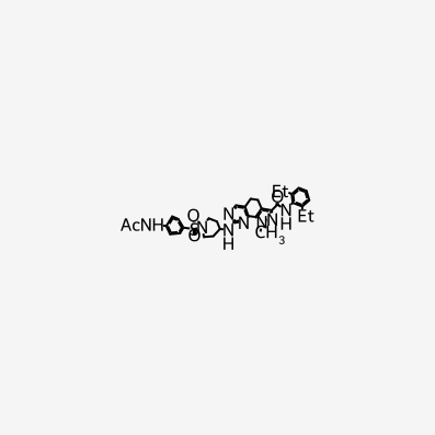 CCc1cccc(CC)c1NC(=O)c1nn(C)c2c1CCc1cnc(NC3CCN(S(=O)(=O)c4ccc(NC(C)=O)cc4)CC3)nc1-2